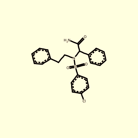 NC(=O)C(c1ccccc1)N(CCc1ccccc1)S(=O)(=O)c1ccc(Cl)cc1